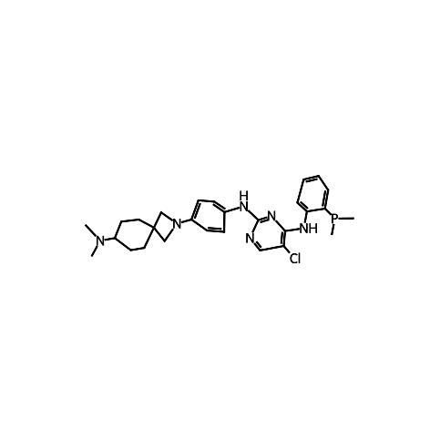 CN(C)C1CCC2(CC1)CN(c1ccc(Nc3ncc(Cl)c(Nc4ccccc4P(C)C)n3)cc1)C2